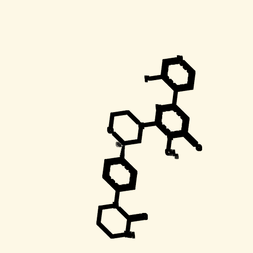 Cn1c(N2CCO[C@@H](c3ccc(N4CCCNC4=O)cc3)C2)nc(-c2ccncc2F)cc1=O